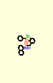 O=C(Cc1cccc(Br)c1OCc1ccccc1)Nc1cccc2ccccc12